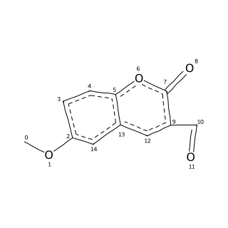 COc1ccc2oc(=O)c(C=O)cc2c1